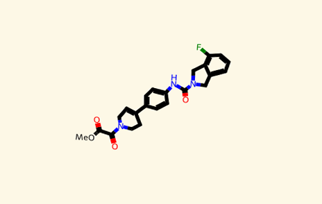 COC(=O)C(=O)N1CC=C(c2ccc(NC(=O)N3Cc4cccc(F)c4C3)cc2)CC1